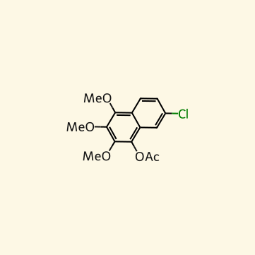 COc1c(OC)c(OC(C)=O)c2cc(Cl)ccc2c1OC